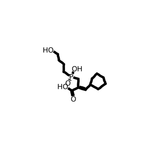 O=C(O)C(=CC1CCCCC1)CP(=O)(O)CCCCO